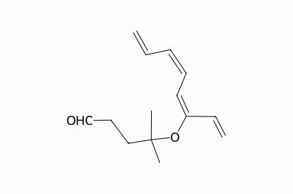 C=C/C=C\C=C(/C=C)OC(C)(C)CCC=O